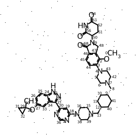 COc1c(N2CCN(C[C@H]3CC[C@H](CN4CCN(c5cc(-c6n[nH]c7ccc(OC8(C)CC8)cc67)ncn5)CC4)CC3)CC2)ccc2c1CN(C1CCC(=O)NC1=O)C2=O